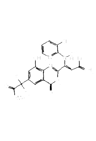 C=C(Br)/C=C(/c1nc2c(C)cc(C(F)(F)C(=O)OC)cc2c(=O)o1)N(C)c1ncccc1Cl